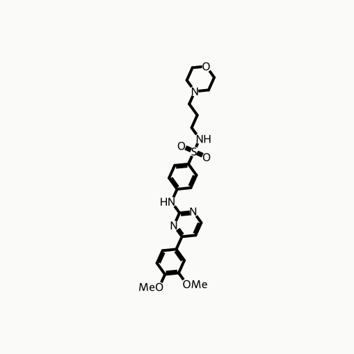 COc1ccc(-c2ccnc(Nc3ccc(S(=O)(=O)NCCCN4CCOCC4)cc3)n2)cc1OC